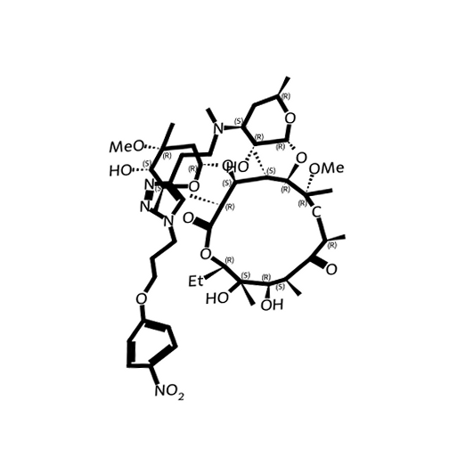 CC[C@H]1OC(=O)[C@H](C)[C@@H](O[C@H]2C[C@@](C)(OC)[C@@H](O)[C@H](C)O2)[C@H](C)[C@@H](O[C@H]2O[C@H](C)C[C@H](N(C)CCc3cn(CCCOc4ccc([N+](=O)[O-])cc4)nn3)[C@H]2O)[C@](C)(OC)C[C@@H](C)C(=O)[C@@H](C)[C@@H](O)[C@]1(C)O